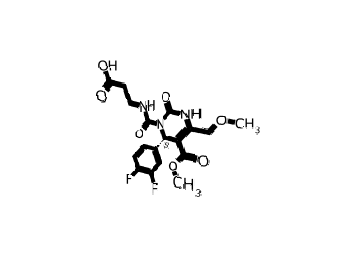 COCC1=C(C(=O)OC)[C@H](c2ccc(F)c(F)c2)N(C(=O)NCCC(=O)O)C(=O)N1